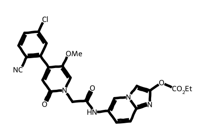 CCOC(=O)Oc1cn2cc(NC(=O)Cn3cc(OC)c(-c4cc(Cl)ccc4C#N)cc3=O)ccc2n1